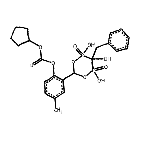 Cc1ccc(OC(=O)OC2CCCC2)c(C2OP(=O)(O)C(O)(Cc3cccnc3)P(=O)(O)O2)c1